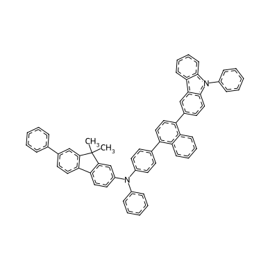 CC1(C)c2cc(-c3ccccc3)ccc2-c2ccc(N(c3ccccc3)c3ccc(-c4ccc(-c5ccc6c(c5)c5ccccc5n6-c5ccccc5)c5ccccc45)cc3)cc21